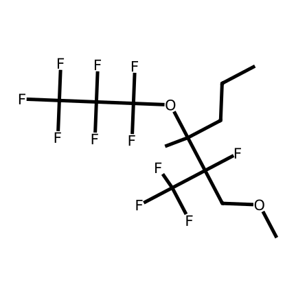 CCCC(C)(OC(F)(F)C(F)(F)C(F)(F)F)C(F)(COC)C(F)(F)F